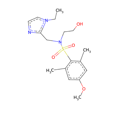 CCn1ccnc1CN(CCO)S(=O)(=O)c1c(C)cc(OC)cc1C